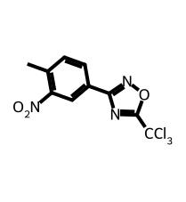 Cc1ccc(-c2noc(C(Cl)(Cl)Cl)n2)cc1[N+](=O)[O-]